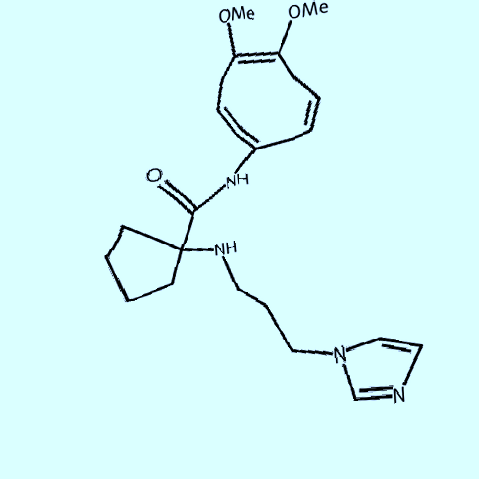 COc1ccc(NC(=O)C2(NCCCn3ccnc3)CCCC2)cc1OC